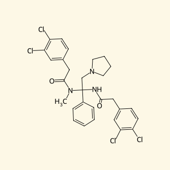 CN(C(=O)Cc1ccc(Cl)c(Cl)c1)C(CN1CCCC1)(NC(=O)Cc1ccc(Cl)c(Cl)c1)c1ccccc1